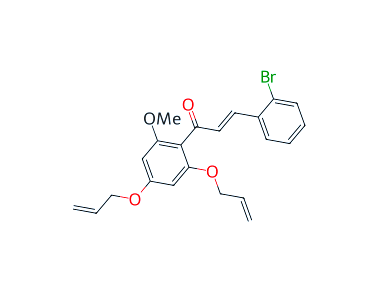 C=CCOc1cc(OC)c(C(=O)/C=C/c2ccccc2Br)c(OCC=C)c1